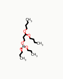 CCCCOC(CC[O][Al]([O]CCC)[O]CCC)OCCCC